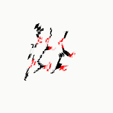 CCC[O][Zr][O]CCC.CCOC(=O)CC(C)=O.CCOC(=O)CC(C)=O